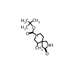 CC1CN(C(=O)OC(C)(C)C)CCC12CNC(=O)C2